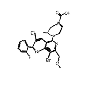 COCc1nc(N2CCN(C(=O)O)CC2C)c2cc(Cl)c(-c3ccccc3F)nc2c1Br